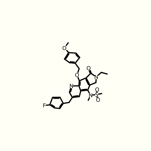 CCN1Cc2c(c(OCc3ccc(OC)cc3)c3ncc(Cc4ccc(F)cc4)cc3c2N(C)S(C)(=O)=O)C1=O